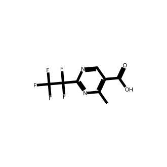 Cc1nc(C(F)(F)C(F)(F)F)ncc1C(=O)O